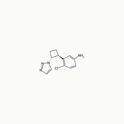 Nc1ccc(Cl)c([C@@H]2CC[C@H]2n2ccnn2)c1